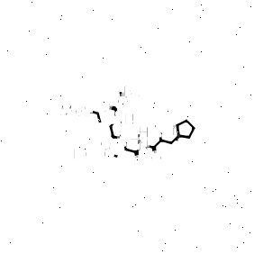 CSCC[C@H](NC(=O)OC(C)(C)C)C(=O)N[C@@H](CC(=O)O)C(=O)NC(=O)C(N)CC1CCCC1